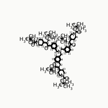 CC(C)(C)OC[C@@H](C(=O)c1cccc(CN(Cc2cccc(C[C@H](C(=O)OC(C)(C)C)C3CCN(C(=O)OC(C)(C)C)CC3)c2)Cc2cccc(C(=O)[C@H](COC(C)(C)C)C3CCN(C(=O)OC(C)(C)C)CC3)c2)c1)C1CCN(C(=O)OC(C)(C)C)CC1